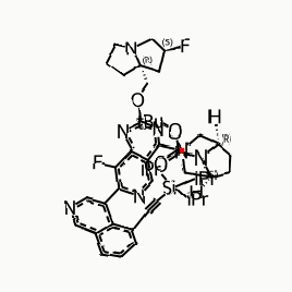 CC(C)[Si](C#Cc1cccc2cncc(-c3ncc4c(N5C[C@H]6CC[C@@H](C5)N6C(=O)OC(C)(C)C)nc(OC[C@]56CCCN5C[C@@H](F)C6)nc4c3F)c12)(C(C)C)C(C)C